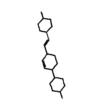 CC1CCC(/C=C/C2C=CC(C3CCC(C)CC3)CC2)CC1